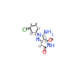 Nc1c2c(nn1-c1cccc(Cl)c1)CC(=O)NC2=O